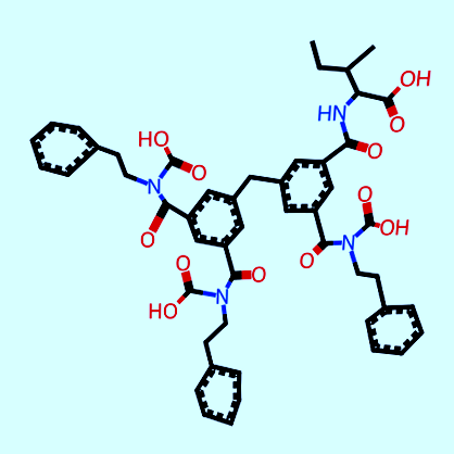 CCC(C)C(NC(=O)c1cc(Cc2cc(C(=O)N(CCc3ccccc3)C(=O)O)cc(C(=O)N(CCc3ccccc3)C(=O)O)c2)cc(C(=O)N(CCc2ccccc2)C(=O)O)c1)C(=O)O